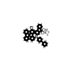 CC1(C)c2ccccc2-c2ccc(N(c3ccc(-c4ccccc4)cc3)c3cccc4c3-c3ccc(Cl)cc3C43c4ccccc4-c4ccccc43)cc21